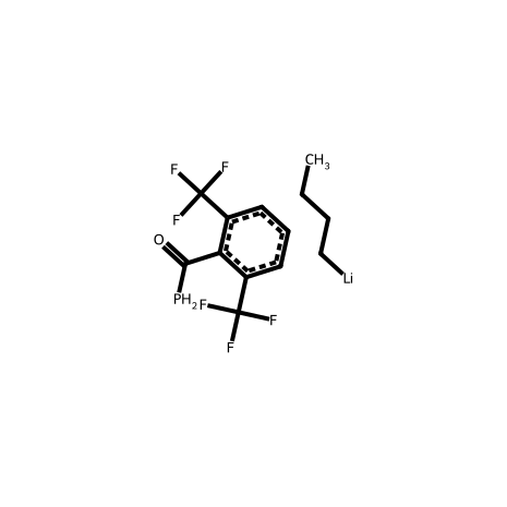 O=C(P)c1c(C(F)(F)F)cccc1C(F)(F)F.[Li][CH2]CCC